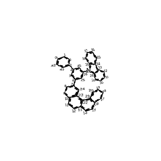 c1ccc(-c2cc(-c3ccc4ccc5ccc6ccccc6c5c4c3)cc(-n3c4ccccc4c4ccccc43)c2)cc1